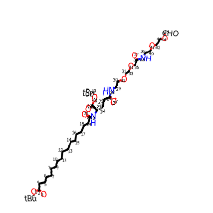 CC(C)(C)OC(=O)CCCCCCCCCCCCCCCCC(=O)N[C@@H](CCC(=O)NCCOCCOCC(=O)NCCOCCOC=O)C(=O)OC(C)(C)C